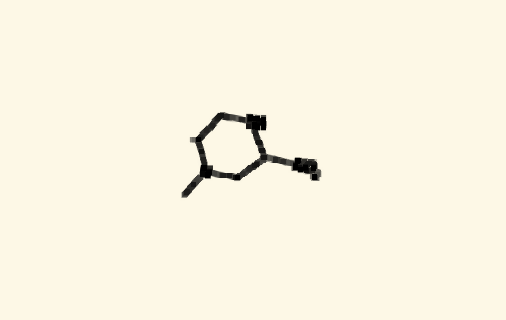 CN1[CH]CNC([N+](=O)[O-])C1